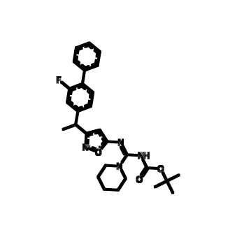 CC(c1ccc(-c2ccccc2)c(F)c1)c1cc(/N=C(/NC(=O)OC(C)(C)C)N2CCCCC2)on1